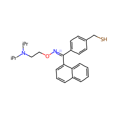 CC(C)N(CCO/N=C(/c1ccc(CS)cc1)c1cccc2ccccc12)C(C)C